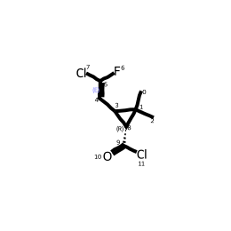 CC1(C)C(/C=C(\F)Cl)[C@H]1C(=O)Cl